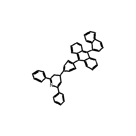 C1=C(c2ccccc2)N=C(c2ccccc2)CC1c1ccc(-c2c3ccccc3c(-c3cccc4ccccc34)c3ccccc23)cc1